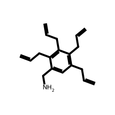 C=CCc1cc(CN)c(CC=C)c(CC=C)c1CC=C